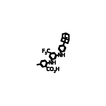 Cc1ccc(Nc2cc(Nc3ccc(C45CC6CC7CC(C4)C65C7)cc3)cc(C(F)(F)F)c2)c(C(=O)O)c1